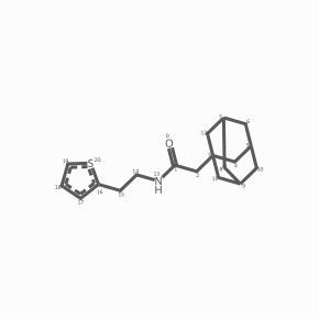 O=C(CC12CC3CC(CC(C3)C1)C2)NCCc1cccs1